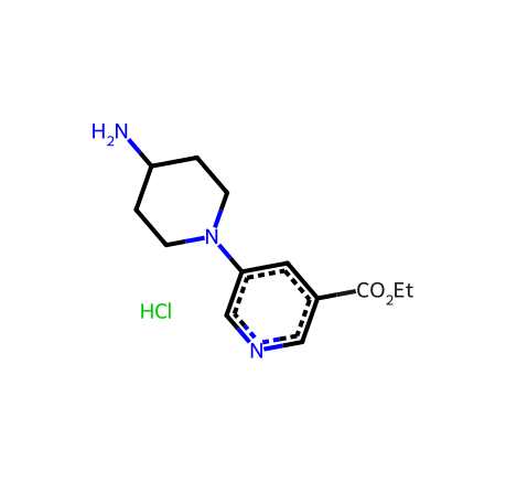 CCOC(=O)c1cncc(N2CCC(N)CC2)c1.Cl